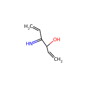 C=CC(=N)C(O)C=C